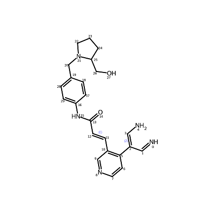 N=C/C(=C\N)c1ccncc1/C=C/C(=O)Nc1ccc(CN2CCCC2CO)cc1